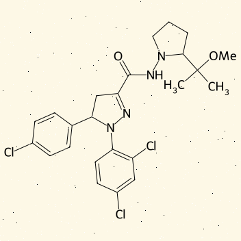 COC(C)(C)C1CCCN1NC(=O)C1=NN(c2ccc(Cl)cc2Cl)C(c2ccc(Cl)cc2)C1